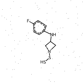 Fc1ccc(NC2CN(SS)C2)cc1